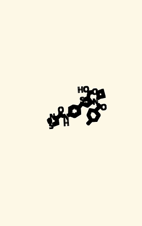 CC1CCC(C(=O)N(c2cc(-c3ccc(NC(=O)c4cscn4)cc3)sc2C(=O)O)C2CCC2)CC1